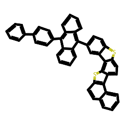 c1ccc(-c2ccc(-c3c4ccccc4c(-c4ccc5sc6ccc7c(sc8ccc9ccccc9c87)c6c5c4)c4ccccc34)cc2)cc1